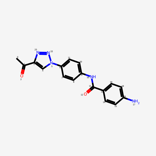 CC(=O)c1cn(-c2ccc(NC(=O)c3ccc(N)cc3)cc2)nn1